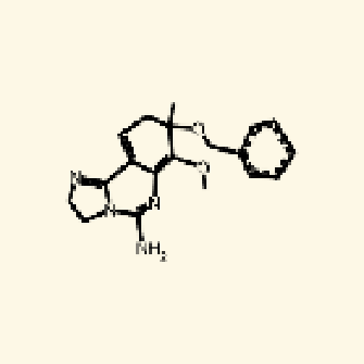 COC1=C2N=C(N)N3CCN=C3C2=CCC1(C)OCc1ccccc1